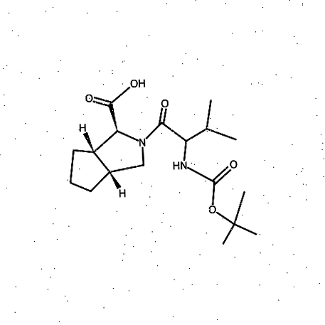 CC(C)C(NC(=O)OC(C)(C)C)C(=O)N1C[C@@H]2CCC[C@@H]2[C@H]1C(=O)O